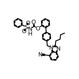 CCCCc1nc2cccc(C#N)c2n1Cc1ccc(-c2ccccc2OC(=O)NS(=O)(=O)c2ccccc2)cc1